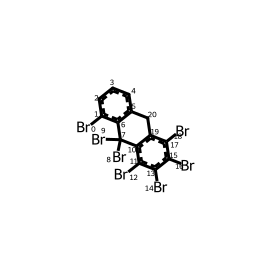 Brc1cccc2c1C(Br)(Br)c1c(Br)c(Br)c(Br)c(Br)c1C2